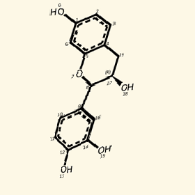 Oc1ccc2c(c1)OC(c1ccc(O)c(O)c1)[C@H](O)C2